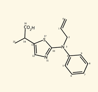 C=CCN(c1ccccc1)c1ncc(C(C)C(=O)O)s1